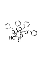 O[C@@H]1[C@@H](OCc2ccccc2)[C@](Cc2ccccc2)(OCc2ccccc2)[C@@H](COCc2ccccc2)O[C@@H]1Cl